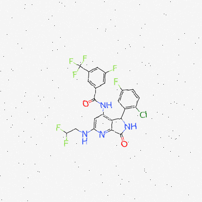 O=C(Nc1cc(NCC(F)F)nc2c1C(c1cc(F)ccc1Cl)NC2=O)c1cc(F)cc(C(F)(F)F)c1